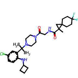 BC(B)(c1cc(Cl)ccc1NC1CCC1)N1CCN(C(=O)CNC(=O)C2(C)CC23CCC(F)(F)CC3)CC1